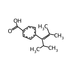 CC(C)=C(c1ccc(C(=O)O)cc1)C(C)C